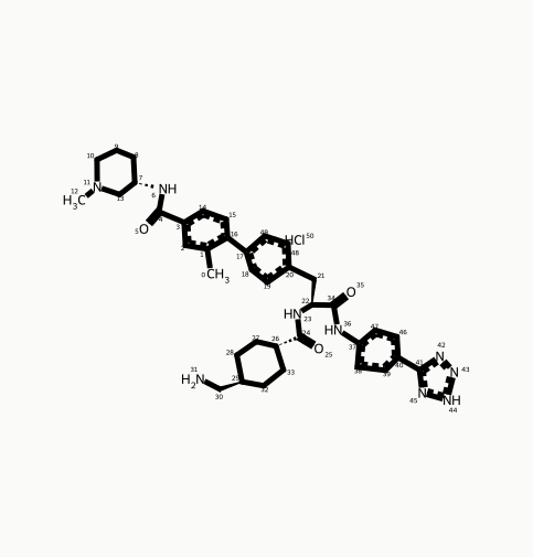 Cc1cc(C(=O)N[C@H]2CCCN(C)C2)ccc1-c1ccc(C[C@H](NC(=O)[C@H]2CC[C@H](CN)CC2)C(=O)Nc2ccc(-c3nn[nH]n3)cc2)cc1.Cl